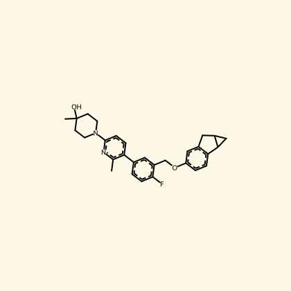 Cc1nc(N2CCC(C)(O)CC2)ccc1-c1ccc(F)c(COc2ccc3c(c2)CC2CC32)c1